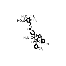 Cc1c(CCOC(=O)N2CCC(NC(=O)n3c(-c4ccnn4-c4ccc(C#N)cc4)c(C)n(-c4cccc(C(F)(F)F)c4)c3=O)CC2)cc(S(=O)(=O)O)c(C)c1C.N